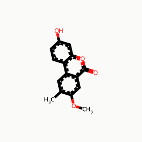 COc1cc2c(=O)oc3cc(O)ccc3c2cc1C